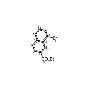 CCOC(=O)c1ccc2cncc(Br)c2n1